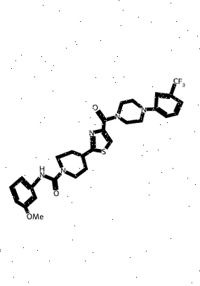 COc1cccc(NC(=O)N2CCC(c3nc(C(=O)N4CCN(c5cccc(C(F)(F)F)c5)CC4)cs3)CC2)c1